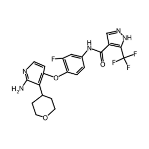 Nc1nccc(Oc2ccc(NC(=O)c3cn[nH]c3C(F)(F)F)cc2F)c1C1CCOCC1